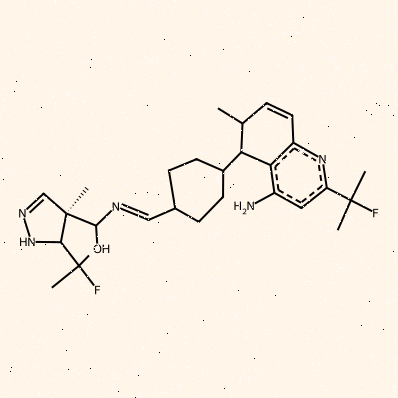 CC1C=Cc2nc(C(C)(C)F)cc(N)c2C1C1CCC(/C=N/C(O)[C@]2(C)C=NNC2C(C)(C)F)CC1